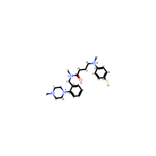 CN1CCN(c2ccccc2CN(C)C(=O)CCCN(C)c2ccc(F)cc2)CC1